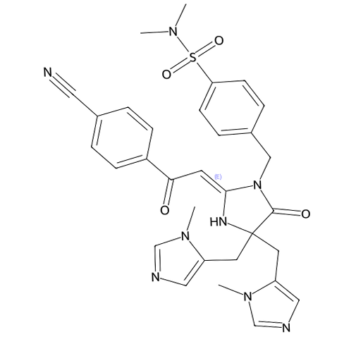 CN(C)S(=O)(=O)c1ccc(CN2C(=O)C(Cc3cncn3C)(Cc3cncn3C)N/C2=C\C(=O)c2ccc(C#N)cc2)cc1